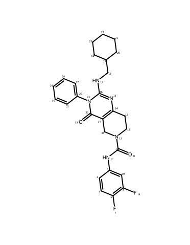 O=C(Nc1ccc(F)c(F)c1)N1CCc2nc(NCC3CCCCC3)n(-c3ccccc3)c(=O)c2C1